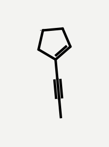 CC#CC1=CC[CH]C1